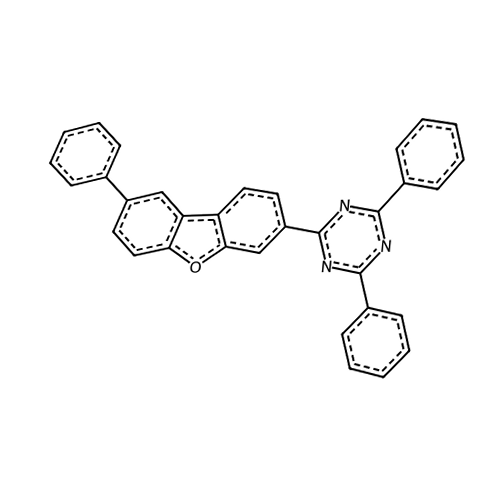 c1ccc(-c2ccc3oc4cc(-c5nc(-c6ccccc6)nc(-c6ccccc6)n5)ccc4c3c2)cc1